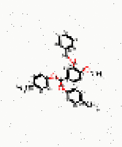 COc1ccc(C(Oc2ccc(C)cc2)Oc2ccc(C)cc2)cc1OCc1ccccc1